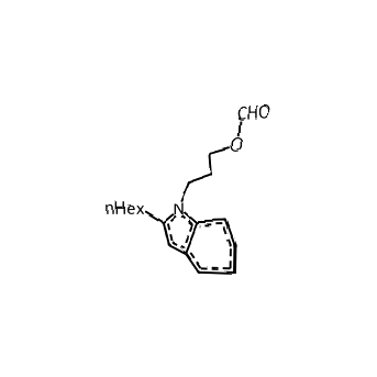 CCCCCCc1cc2ccccc2n1CCCOC=O